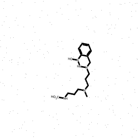 CN(CCCNC(=O)O)CCCN1Cc2ccccc2N(O)N1